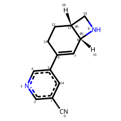 N#Cc1cncc(C2=C[C@H]3NC[C@H]3CC2)c1